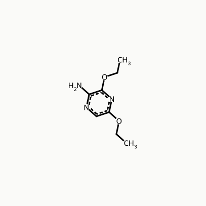 CCOc1cnc(N)c(OCC)n1